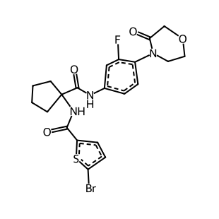 O=C(NC1(C(=O)Nc2ccc(N3CCOCC3=O)c(F)c2)CCCC1)c1ccc(Br)s1